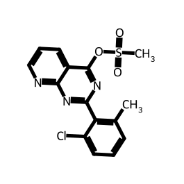 Cc1cccc(Cl)c1-c1nc(OS(C)(=O)=O)c2cccnc2n1